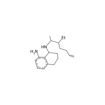 C=CCCC(CC)C(C)NC1CCCc2cccc(N)c21